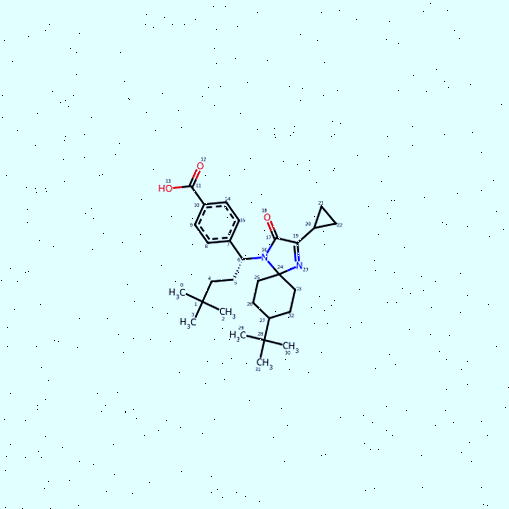 CC(C)(C)CC[C@H](c1ccc(C(=O)O)cc1)N1C(=O)C(C2CC2)=NC12CCC(C(C)(C)C)CC2